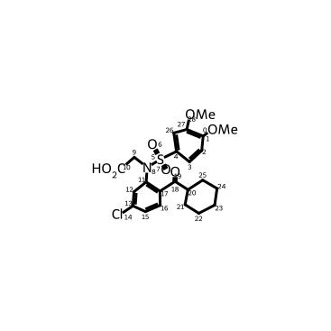 COc1ccc(S(=O)(=O)N(CC(=O)O)c2cc(Cl)ccc2C(=O)C2CCCCC2)cc1OC